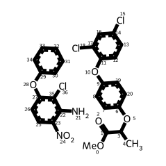 COC(=O)C(C)Oc1ccc(Oc2ccc(Cl)cc2Cl)cc1.Nc1c([N+](=O)[O-])ccc(Oc2ccccc2)c1Cl